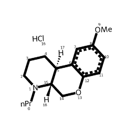 CCCN1CCC[C@H]2c3cc(OC)ccc3OC[C@@H]21.Cl